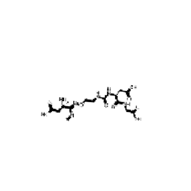 C=N/C(=N\OCCNC(=O)N[C@@H](CC(=O)O)C(=O)NCC(=O)O)[C@@H](N)CC(=O)O